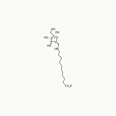 O=C(O)CCCCCCCCCCNC[C@@H]1O[C@](O)(CO)[C@@H](O)[C@@H]1O